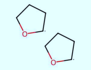 [CH]1CCCO1.[CH]1CCCO1